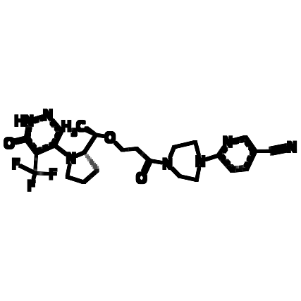 C[C@@H](OCCC(=O)N1CCN(c2ccc(C#N)cn2)CC1)[C@@H]1CCCN1c1cn[nH]c(=O)c1C(F)(F)F